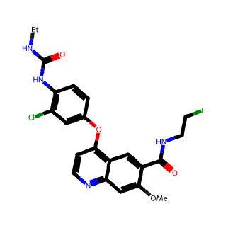 CCNC(=O)Nc1ccc(Oc2ccnc3cc(OC)c(C(=O)NCCF)cc23)cc1Cl